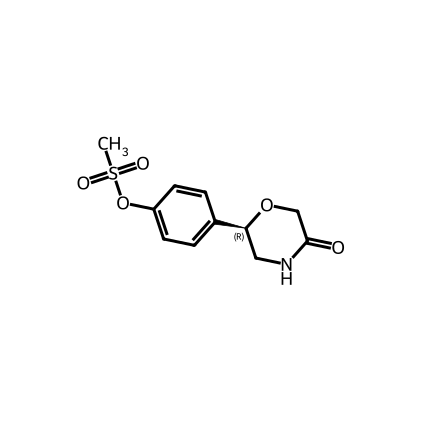 CS(=O)(=O)Oc1ccc([C@@H]2CNC(=O)CO2)cc1